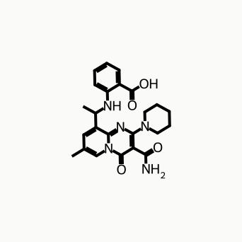 Cc1cc(C(C)Nc2ccccc2C(=O)O)c2nc(N3CCCCC3)c(C(N)=O)c(=O)n2c1